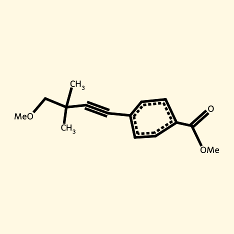 COCC(C)(C)C#Cc1ccc(C(=O)OC)cc1